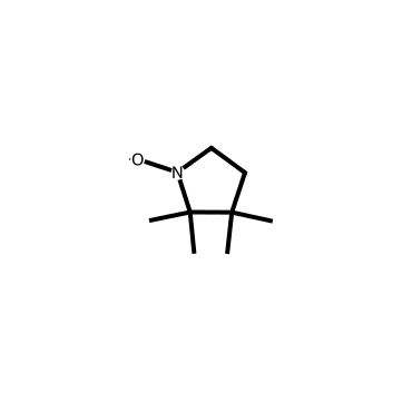 CC1(C)CCN([O])C1(C)C